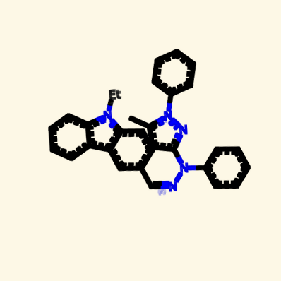 CCn1c2ccccc2c2cc(/C=N\N(c3ccccc3)c3cc(C)n(-c4ccccc4)n3)ccc21